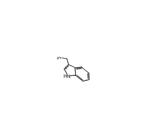 C[C](C)Cc1c[nH]c2ccccc12